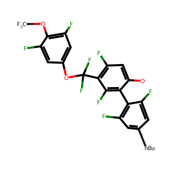 CCCCc1cc(F)c(-c2c([O])cc(F)c(C(F)(F)Oc3cc(F)c(OC(F)(F)F)c(F)c3)c2F)c(F)c1